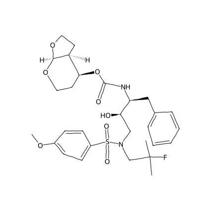 COc1ccc(S(=O)(=O)N(C[C@@H](O)[C@H](Cc2ccccc2)NC(=O)O[C@H]2CCO[C@H]3OCC[C@H]32)CC(C)(C)F)cc1